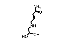 NC(=O)C=CCNCC(O)O